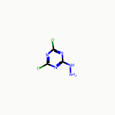 NNc1nc(Cl)nc(Cl)n1